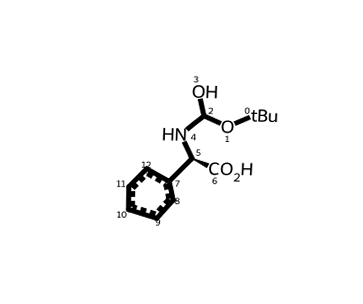 CC(C)(C)OC(O)N[C@@H](C(=O)O)c1ccccc1